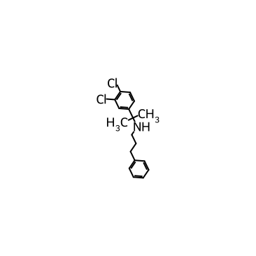 CC(C)(NCCCc1ccccc1)c1ccc(Cl)c(Cl)c1